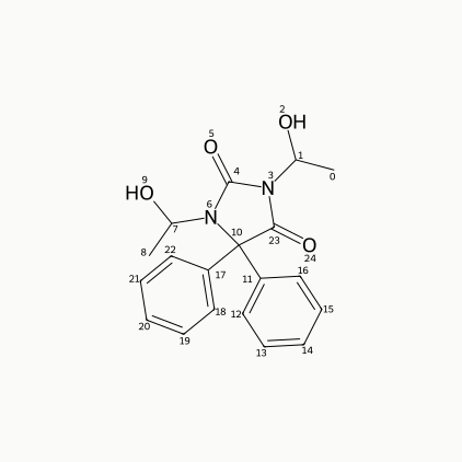 CC(O)N1C(=O)N(C(C)O)C(c2ccccc2)(c2ccccc2)C1=O